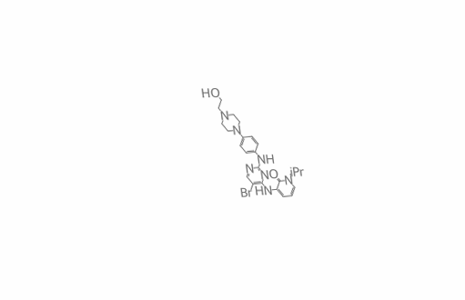 CC(C)n1cccc(Nc2nc(Nc3ccc(N4CCN(CCO)CC4)cc3)ncc2Br)c1=O